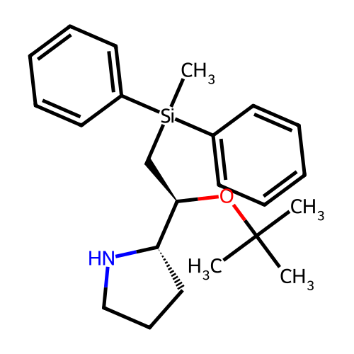 CC(C)(C)O[C@H](C[Si](C)(c1ccccc1)c1ccccc1)[C@@H]1CCCN1